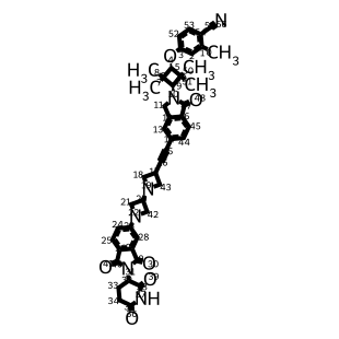 Cc1cc(O[C@H]2C(C)(C)[C@H](N3Cc4cc(C#CC5CN(C6CN(c7ccc8c(c7)C(=O)N(C7CCC(=O)NC7=O)C8=O)C6)C5)ccc4C3=O)C2(C)C)ccc1C#N